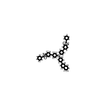 c1ccc(-c2nc3ccc(-c4ccc(N(c5ccc(-c6ccc7ccccc7c6)cc5)c5ccc(-c6ccc7nc(-c8ccccc8)oc7c6)cc5)cc4)cc3o2)cc1